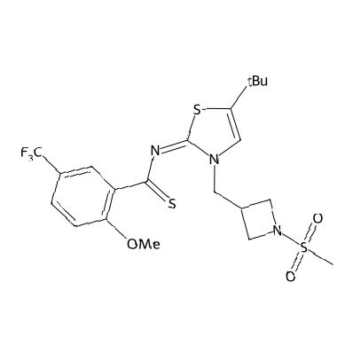 COc1ccc(C(F)(F)F)cc1C(=S)N=c1sc(C(C)(C)C)cn1CC1CN(S(C)(=O)=O)C1